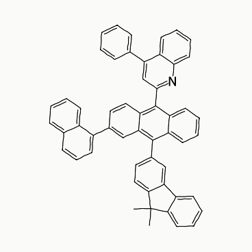 CC1(C)c2ccccc2-c2cc(-c3c4ccccc4c(-c4cc(-c5ccccc5)c5ccccc5n4)c4ccc(-c5cccc6ccccc56)cc34)ccc21